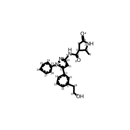 CC1NC(=O)CC1C(=O)Nc1cc(-c2cccc(CCO)c2)n(-c2ccccc2)n1